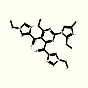 CCc1nc(-n2cc(C)nc2CC)nc(C(=O)c2cn(CC)cn2)c1C(=O)c1cn(CC)cn1